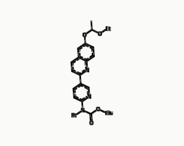 CCOC(C)Oc1ccc2nc(-c3ccc(N(CC)C(=O)OC(C)(C)C)nc3)ccc2c1